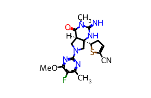 COc1nc(N2C[C@H]3C(=O)N(C)C(=N)N[C@@]3(C3CC=C(C#N)S3)C2)nc(C)c1F